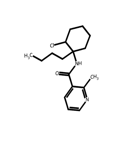 CCCCC1(NC(=O)c2cccnc2C)CCCCC1Cl